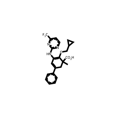 CC1(C(=O)O)CC(c2ccccc2)=CC(Nc2nccc(C(F)(F)F)n2)=C1OCC1CC1